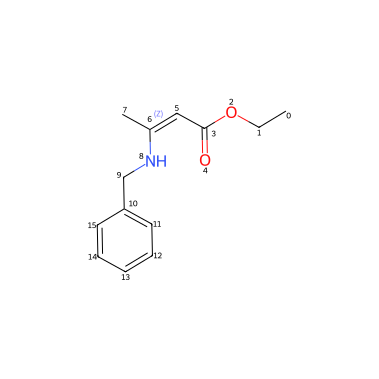 CCOC(=O)/C=C(/C)NCc1ccccc1